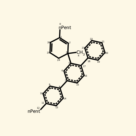 CCCCCC1=CC(C)(c2cc(-c3ccc(CCCCC)cc3)ccc2-c2ccccc2)CC=C1